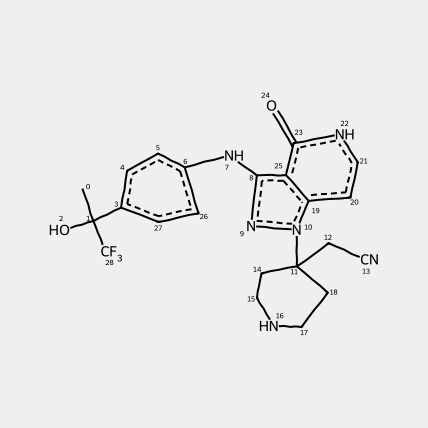 CC(O)(c1ccc(Nc2nn(C3(CC#N)CCNCC3)c3cc[nH]c(=O)c23)cc1)C(F)(F)F